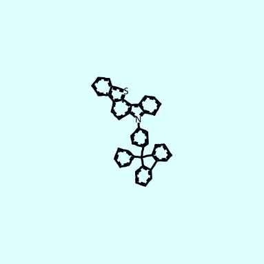 c1ccc(C2(c3ccc(-n4c5ccccc5c5c6sc7ccccc7c6ccc54)cc3)c3ccccc3-c3ccccc32)cc1